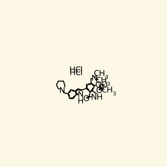 CN(C)Cc1cc(-c2cc3cc(CN4CCCCC4)ccc3[nH]2)c2c(c1OS(C)(=O)=O)CNC2=O.Cl.Cl